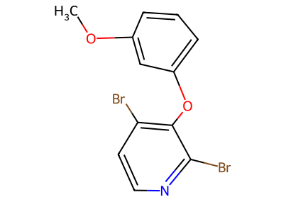 COc1cccc(Oc2c(Br)ccnc2Br)c1